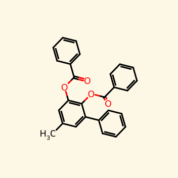 Cc1cc(OC(=O)c2ccccc2)c(OC(=O)c2ccccc2)c(-c2ccccc2)c1